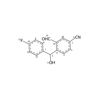 N#Cc1ccc(C(O)c2ccc(F)cc2)c(C=O)c1